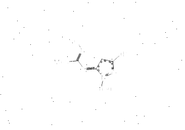 CCCCn1oc(C(C)(C)C)cc1=NC(=NC#N)SC